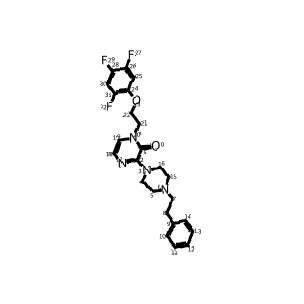 O=c1c(N2CCN(CCc3ccccc3)CC2)nccn1CCOc1cc(F)c(F)cc1F